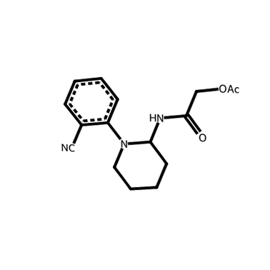 CC(=O)OCC(=O)NC1CCCCN1c1ccccc1C#N